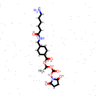 CC(OC(=O)ON1C(=O)CCC1=O)OC(=O)C1CCC(CNC(=O)CCCCCN)CC1